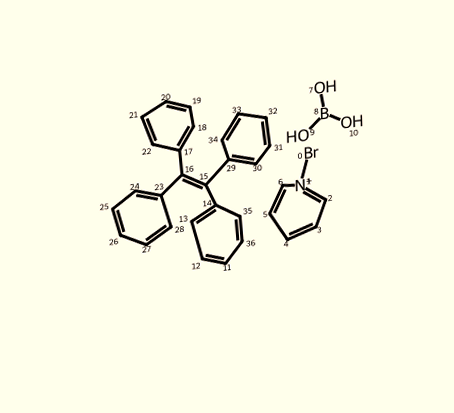 Br[n+]1ccccc1.OB(O)O.c1ccc(C(=C(c2ccccc2)c2ccccc2)c2ccccc2)cc1